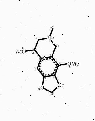 COc1c2c(cc3c1OCO3)C(OC(C)=O)CN(C)C2